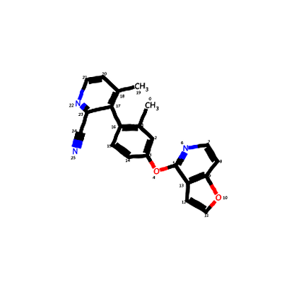 Cc1cc(Oc2nccc3occc23)ccc1-c1c(C)ccnc1C#N